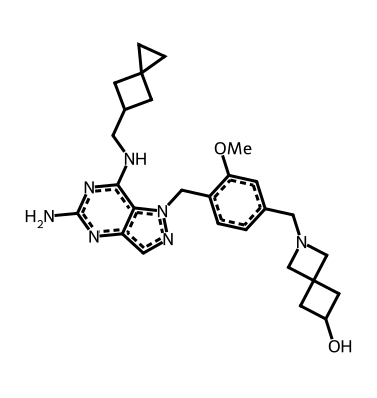 COc1cc(CN2CC3(CC(O)C3)C2)ccc1Cn1ncc2nc(N)nc(NCC3CC4(CC4)C3)c21